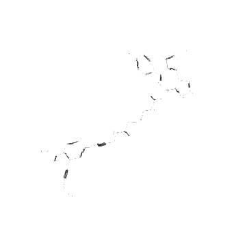 COC(=O)c1ccc(C#CCNC(=O)CCCNC(=O)C[C@@H]2N=C(c3ccc(Cl)cc3)c3c(sc(C)c3C)-n3c(C)nnc32)cc1C#CCN